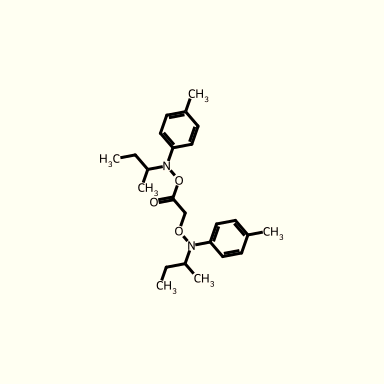 CCC(C)N(OCC(=O)ON(c1ccc(C)cc1)C(C)CC)c1ccc(C)cc1